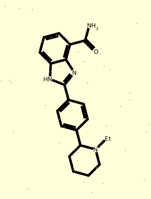 CCN1CCCCC1c1ccc(-c2nc3c(C(N)=O)cccc3[nH]2)cc1